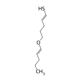 CCCC=COCCCC=CS